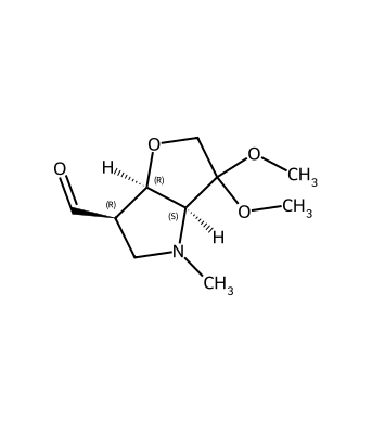 COC1(OC)CO[C@@H]2[C@H](C=O)CN(C)[C@@H]21